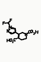 O=C(O)C1=C(c2cnn(C(F)F)c2)CN(C(=O)O)CC1